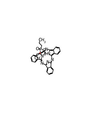 CCCP(=O)(CCC)OB1n2c3c4ccccc4c2/N=C2N=C(/N=c4/c5ccccc5c(n41)=N3)c1ccccc1\2